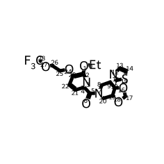 CCOc1nc(C(=O)N2CC[C@@]3(c4nccs4)OCOC3C2)ccc1OCCOC(F)(F)F